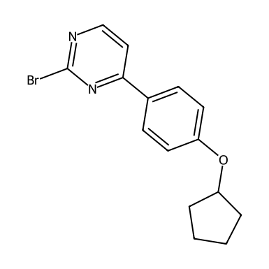 Brc1nccc(-c2ccc(OC3CCCC3)cc2)n1